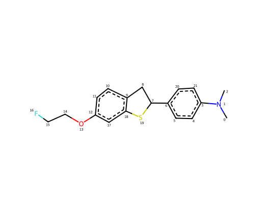 CN(C)c1ccc(C2Cc3ccc(OCCF)cc3S2)cc1